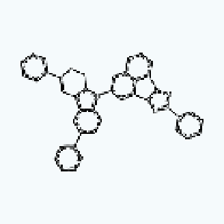 C1=C(c2ccccc2)CCc2c1c1cc(-c3ccccc3)ccc1n2-c1cc2c3c(cccc3c1)-c1oc(-c3ccccc3)nc1-2